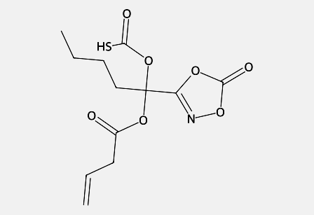 C=CCC(=O)OC(CCCC)(OC(=O)S)c1noc(=O)o1